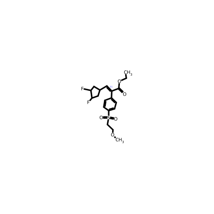 CCOC(=O)/C(=C/C1CC(F)C(F)C1)c1ccc(S(=O)(=O)CCOC)cc1